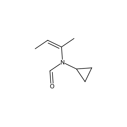 C/C=C(/C)N(C=O)C1CC1